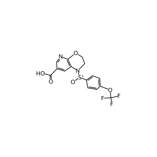 O=C(O)c1cnc2c(c1)N([S+]([O-])c1ccc(OC(F)(F)F)cc1)CCO2